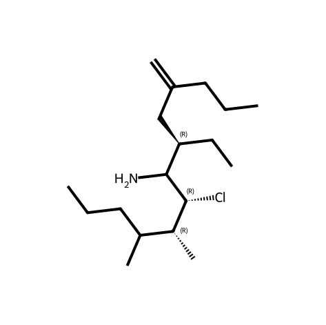 C=C(CCC)C[C@@H](CC)C(N)[C@H](Cl)[C@H](C)C(C)CCC